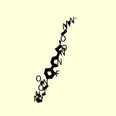 [N-]=[N+]=NCCOC[C@@H]1CC(c2ccc(-c3ccc(N4C[C@H](Cn5ccnn5)OC4=O)cc3F)cn2)=NO1